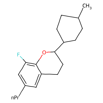 CCCc1cc(F)c2c(c1)CCC(C1CCC(C)CC1)O2